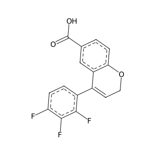 O=C(O)c1ccc2c(c1)C(c1ccc(F)c(F)c1F)=CCO2